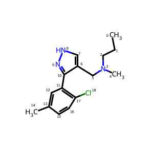 CCCN(C)Cc1c[nH]nc1-c1cc(C)ccc1Cl